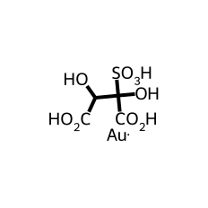 O=C(O)C(O)C(O)(C(=O)O)S(=O)(=O)O.[Au]